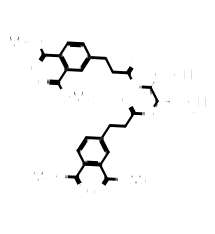 COC(=O)c1ccc(CCC(=O)O[C@@H](C(=O)O)[C@@H](OC(=O)CCc2ccc(C(=O)OC)c(C(=O)OC)c2)C(=O)O)cc1C(=O)OC